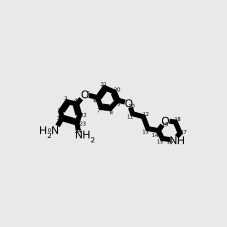 Nc1ccc(Oc2ccc(OCCCC3CNCCO3)cc2)cc1N